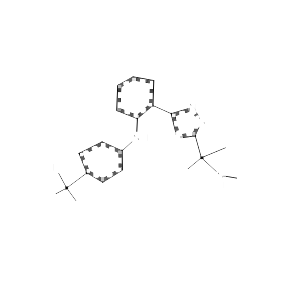 CNC(C)(C)c1nnc(-c2ccccc2Nc2ccc(C(F)(F)F)cc2)o1